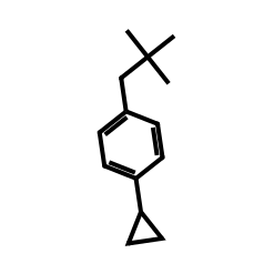 CC(C)(C)Cc1ccc(C2CC2)cc1